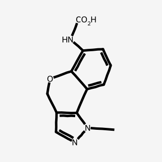 Cn1ncc2c1-c1cccc(NC(=O)O)c1OC2